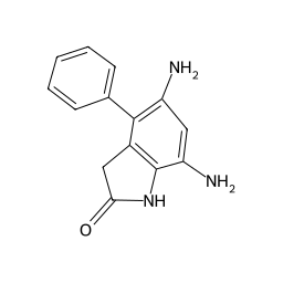 Nc1cc(N)c(-c2ccccc2)c2c1NC(=O)C2